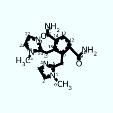 Cn1ccnc1Cc1c(C(N)=O)ccc(C(N)=O)c1Cc1nccn1C